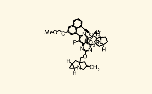 C=C1CN2[C@@H]3C[C@@H]3CC2(COc2nc(N3C[C@H]4CC[C@@H](C3)N4C(=O)O)c3cnc(-c4cc(OCOC)cc5cccc(C#C[Si](C(C)C)(C(C)C)C(C)C)c45)c(F)c3n2)C1